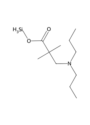 CCCN(CCC)CC(C)(C)C(=O)O[SiH3]